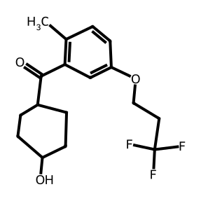 Cc1ccc(OCCC(F)(F)F)cc1C(=O)C1CCC(O)CC1